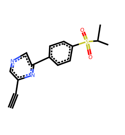 C#Cc1cncc(-c2ccc(S(=O)(=O)C(C)C)cc2)n1